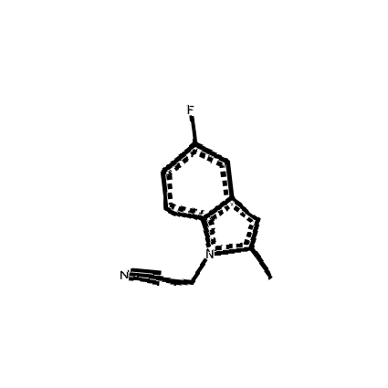 Cc1cc2cc(F)ccc2n1CC#N